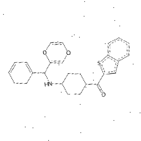 O=C(c1cc2ccccc2s1)C1CCC(NC(C2=CC=CCC2)C2=COC=CO2)CC1